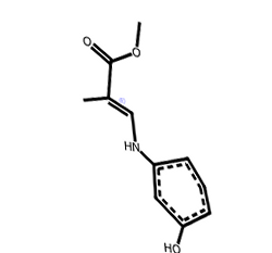 COC(=O)/C(C)=C/Nc1cccc(O)c1